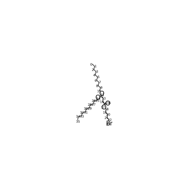 CCCCCCCCCCCOC(CCC(=O)OCCCCCBr)OCCCCCCCCCCC